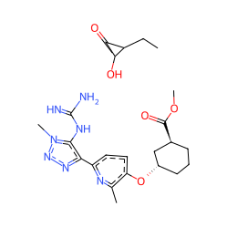 CCC1C(=O)C1O.COC(=O)[C@H]1CCC[C@H](Oc2ccc(-c3nnn(C)c3NC(=N)N)nc2C)C1